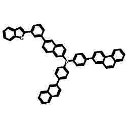 c1cc(-c2ccc3cc(N(c4ccc(-c5ccc6ccccc6c5)cc4)c4ccc(-c5ccc6c(ccc7ccccc76)c5)cc4)ccc3c2)cc(-c2cc3ccccc3o2)c1